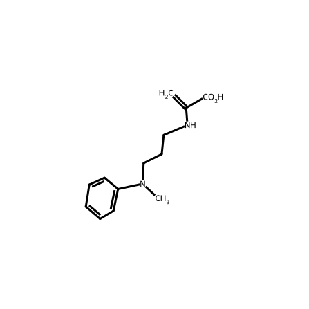 C=C(NCCCN(C)c1ccccc1)C(=O)O